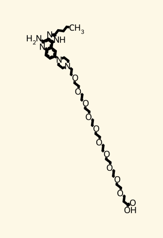 CCCCc1nc2c(N)nc3ccc(N4CCN(CCOCCOCCOCCOCCOCCOCCOCCOCCOCCOCCC(=O)O)CC4)cc3c2[nH]1